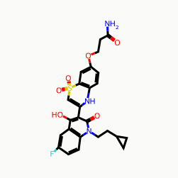 NC(=O)CCOc1ccc2c(c1)S(=O)(=O)C=C(c1c(O)c3cc(F)ccc3n(CCC3CC3)c1=O)N2